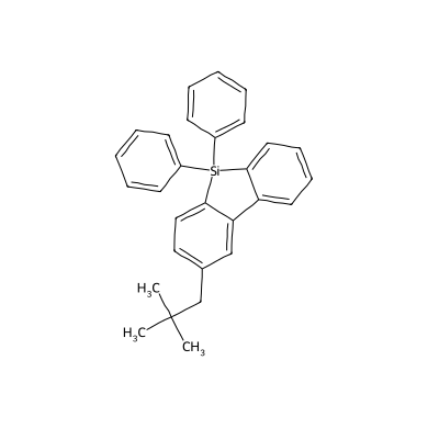 CC(C)(C)Cc1ccc2c(c1)-c1ccccc1[Si]2(c1ccccc1)c1ccccc1